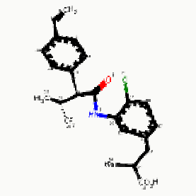 C=Cc1ccc([C@@H](C(=O)Nc2cc(CC(C(=O)O)C(C)(C)C)ccc2Cl)[C@@H](C)C(F)(F)F)cc1